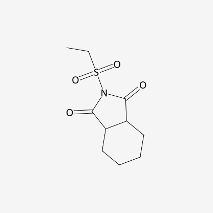 CCS(=O)(=O)N1C(=O)C2CCCCC2C1=O